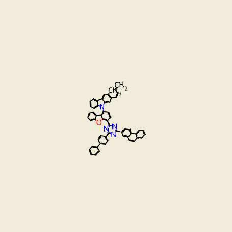 C=C/C=C\c1cc2c(cc1C)c1ccccc1n2-c1ccc(-c2nc(-c3ccc(-c4ccccc4)cc3)nc(-c3ccc4c(ccc5ccccc54)c3)n2)c2oc3ccccc3c12